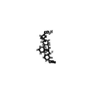 COc1cccc([C@@H](C)NCC2CCN(c3ncc(C(=O)O)s3)CC2c2ccccc2)c1